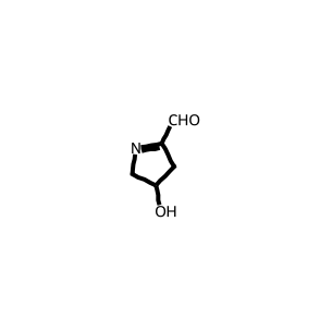 O=CC1=NCC(O)C1